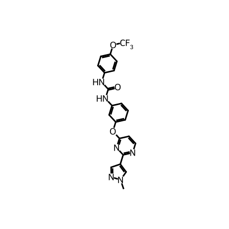 Cn1cc(-c2nccc(Oc3cccc(NC(=O)Nc4ccc(OC(F)(F)F)cc4)c3)n2)cn1